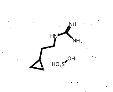 N=C(N)NCCC1CC1.O=S(=O)(O)O